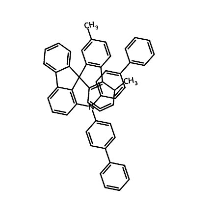 Cc1ccc2c(c1)C1(C3=C2C(C)C=C=C3)c2ccccc2-c2cccc(N(c3ccc(-c4ccccc4)cc3)c3ccc(-c4ccccc4)cc3)c21